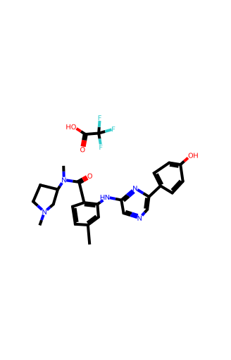 Cc1ccc(C(=O)N(C)C2CCN(C)C2)c(Nc2cncc(-c3ccc(O)cc3)n2)c1.O=C(O)C(F)(F)F